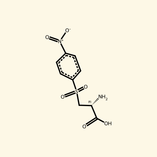 N[C@@H](CS(=O)(=O)c1ccc([N+](=O)[O-])cc1)C(=O)O